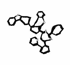 c1ccc(-c2nc(-c3ccccc3-c3ccccn3)cc(-c3ccc(-c4ccc5sc6ccccc6c5c4)c4c3oc3ccccc34)n2)cc1